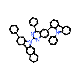 c1ccc(-c2ccc3c4cc5ccccc5cc4n(-c4nc(-c5ccccc5)c5cc(-c6cccc7c8ccccc8n(-c8ccccc8)c67)ccc5n4)c3c2)cc1